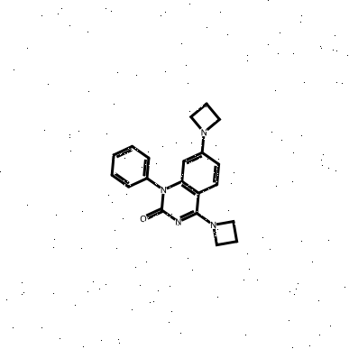 O=c1nc(N2CCC2)c2ccc(N3CCC3)cc2n1-c1ccccc1